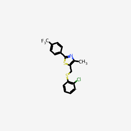 Cc1nc(-c2ccc(C(F)(F)F)cc2)sc1CSc1ccc[c]c1Cl